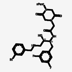 CCCCCN1CC(=O)N(CC(=O)N[C@@H](Cc2cc(F)cc(F)c2)[C@H](O)CNCc2cccc(CC)c2)CC1=O